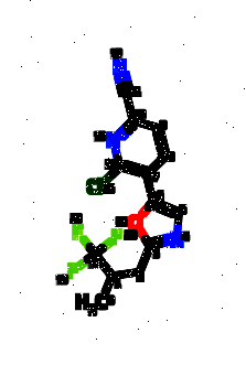 CC(Cc1ncc(-c2ccc(C#N)nc2Cl)o1)C(F)(F)F